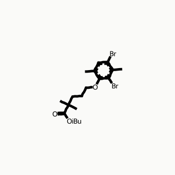 Cc1cc(Br)c(C)c(Br)c1OCCCC(C)(C)C(=O)OCC(C)C